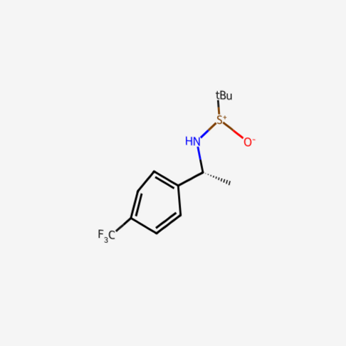 C[C@@H](N[S+]([O-])C(C)(C)C)c1ccc(C(F)(F)F)cc1